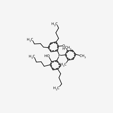 CCCCc1cc(CCCC)c(O)c(P(c2cc(CCCC)cc(CCCC)c2O)c2c(C)cc(C)cc2C)c1